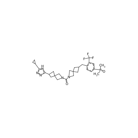 CP(C)(=O)c1ccc(CC2CC3(C2)CN(C(=O)N2CC4(CC(c5nnc(C6CC6)[nH]5)C4)C2)C3)c(C(F)(F)F)c1